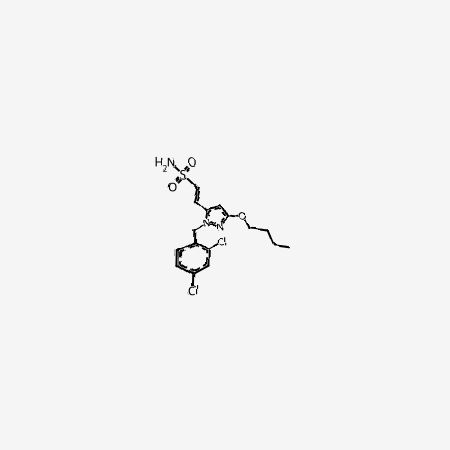 CCCCOc1cc(C=CS(N)(=O)=O)n(Cc2ccc(Cl)cc2Cl)n1